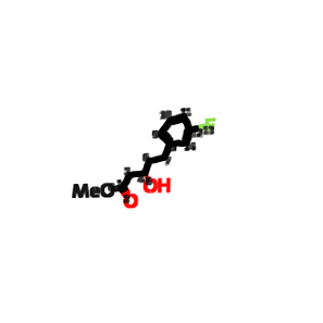 COC(=O)C[C@@H](O)CCc1cccc(F)c1